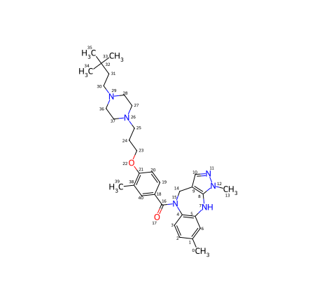 Cc1ccc2c(c1)Nc1c(cnn1C)CN2C(=O)c1ccc(OCCCN2CCN(CCC(C)(C)C)CC2)c(C)c1